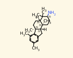 Cc1cc(C)c2c(c1)C[C@H]1[C@]3(C)CC[C@H](N)C(C)(C)[C@H]3CC[C@]21C